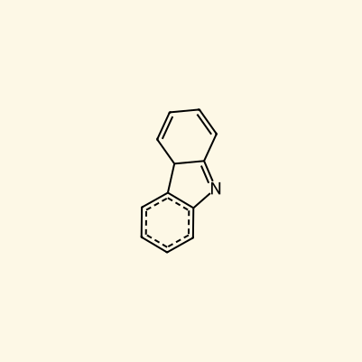 C1=CC2=Nc3ccccc3C2C=C1